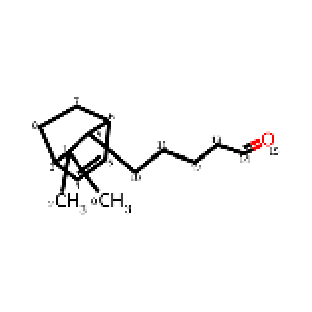 CC1(C)C2C=CC(CC2)C1CCCCC=O